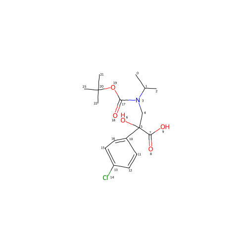 CC(C)N(CC(O)(C(=O)O)c1ccc(Cl)cc1)C(=O)OC(C)(C)C